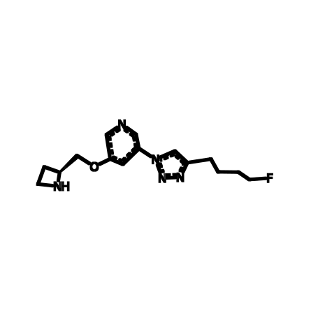 FCCCCc1cn(-c2cncc(OC[C@@H]3CCN3)c2)nn1